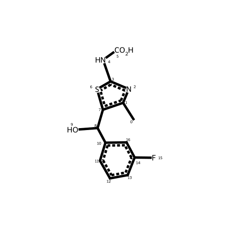 Cc1nc(NC(=O)O)sc1C(O)c1cccc(F)c1